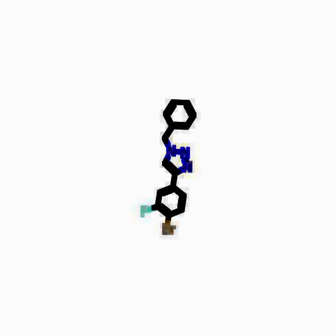 Fc1cc(-c2cn(Cc3ccccc3)nn2)ccc1Br